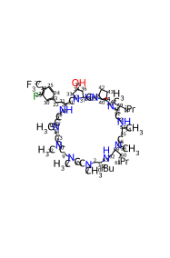 CC[C@H](C)C1CN(C)CCN(C)CCN(C)CCN(C)CCNC(CCc2ccc(C(F)(F)F)c(F)c2)CN2CC(O)CC2CNC2(CCCC2)CN(C)C(CC(C)C)CNC(C)CCN(C)C(CC(C)C)CN1